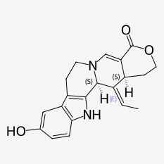 C/C=C1\[C@@H]2CCOC(=O)C2=CN2CCc3c([nH]c4ccc(O)cc34)[C@H]12